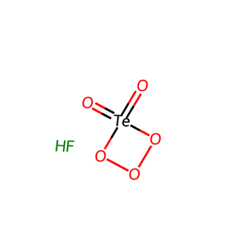 F.O=[Te]1(=O)OOO1